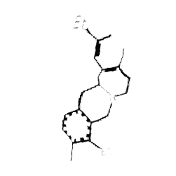 CC/C(C)=C/C1=C(C)CCN2Cc3c(ccc(C)c3CC)CC12